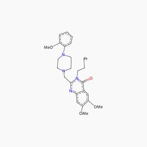 COc1cc2nc(CN3CCN(c4ccccc4OC)CC3)n(CCC(C)C)c(=O)c2cc1OC